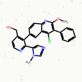 COc1nc2ccc(-c3c(CO)ccnc3-c3cncn3C)cc2c(Cl)c1-c1ccccc1